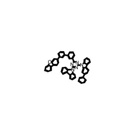 c1ccc(-c2ccc3c4ccccc4n(-c4nc(-c5cccc(-c6cccc(-c7ccc8c(c7)oc7ccccc78)c6)c5)nc(-n5c6ccccc6c6ccccc65)n4)c3c2)cc1